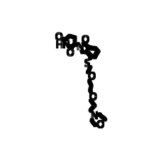 O=C1CCC(N2Cc3c(SCCOCCCOCCCN4CCOCC4)cccc3C2=O)C(=O)N1